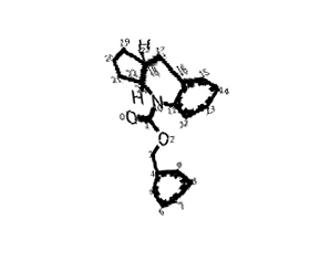 O=C(OCc1ccccc1)N1c2ccccc2[CH][C@H]2CCC[C@H]21